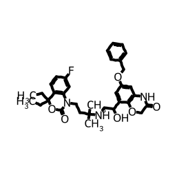 CCC1(CC)OC(=O)N(CCC(C)(C)NCC(O)c2cc(OCc3ccccc3)cc3c2OCC(=O)N3)c2cc(F)ccc21